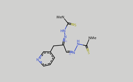 CNC(=S)N/N=C\C(Cc1cccnc1)=N\NC(=S)NC